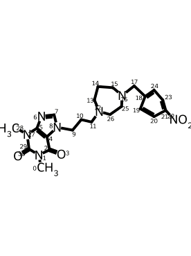 Cn1c(=O)c2c(ncn2CCCN2CCCN(Cc3ccc([N+](=O)[O-])cc3)CC2)n(C)c1=O